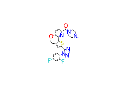 CN1CCN(C(=O)c2ccc3c(n2)-c2sc(-c4ncnn4-c4ccc(F)cc4F)cc2CCO3)CC1